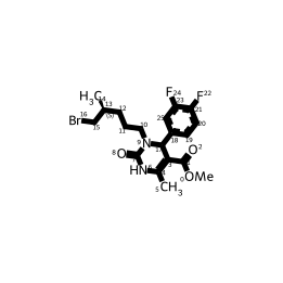 COC(=O)C1=C(C)NC(=O)N(CCC[C@H](C)CBr)C1c1ccc(F)c(F)c1